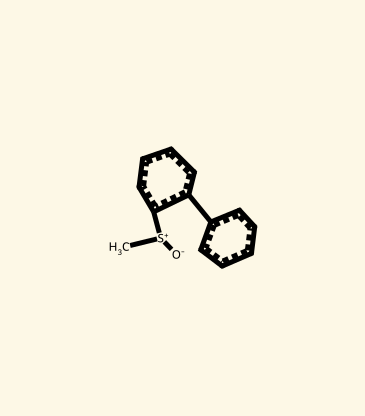 C[S+]([O-])c1ccccc1-c1ccccc1